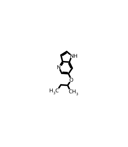 CCC(C)Oc1cnc2cc[nH]c2c1